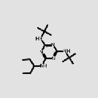 CCC(CC)Nc1nc(NC(C)(C)C)nc(NC(C)(C)C)n1